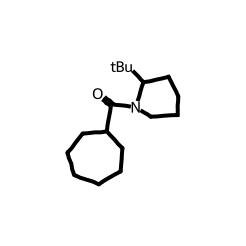 CC(C)(C)C1CCCCN1C(=O)C1CCCCCC1